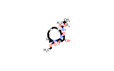 CCOC(=O)[C@@]12C[C@H]1C=CCCCCC[C@H](NC(=O)OC(C)(C)C)C(=O)N1C[C@H](O)C[C@H]1C(=O)N2